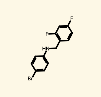 Fc1ccc(CNc2ccc(Br)cc2)c(F)c1